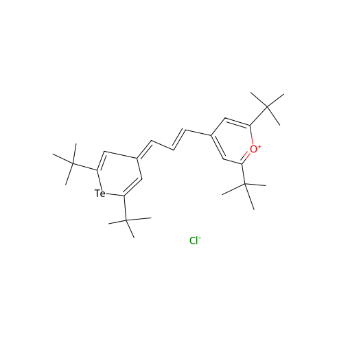 CC(C)(C)C1=CC(=CC=Cc2cc(C(C)(C)C)[o+]c(C(C)(C)C)c2)C=C(C(C)(C)C)[Te]1.[Cl-]